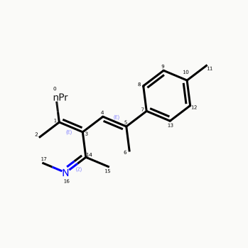 CCC/C(C)=C(\C=C(/C)c1ccc(C)cc1)C(/C)=N\C